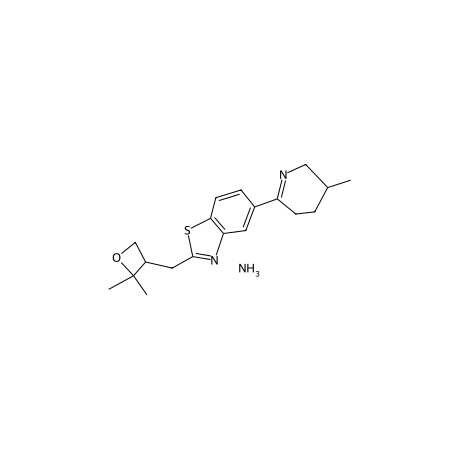 CC1CCC(c2ccc3sc(CC4COC4(C)C)nc3c2)=NC1.N